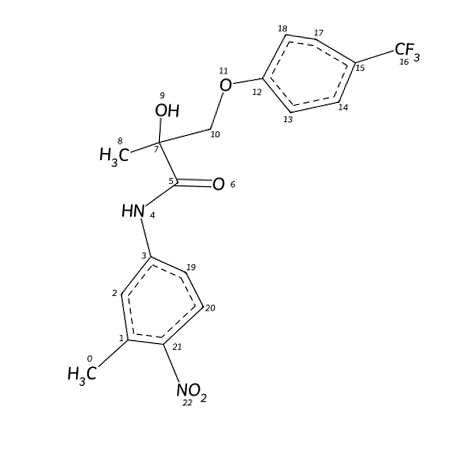 Cc1cc(NC(=O)C(C)(O)COc2ccc(C(F)(F)F)cc2)ccc1[N+](=O)[O-]